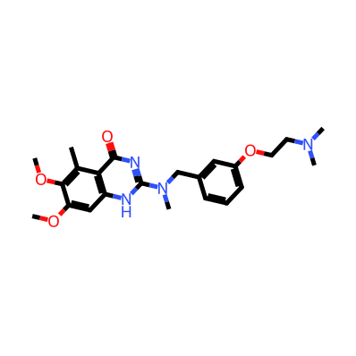 COc1cc2[nH]c(N(C)Cc3cccc(OCCN(C)C)c3)nc(=O)c2c(C)c1OC